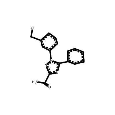 NC(=O)c1nc(-c2ccccc2)n(-c2cccc(CCl)c2)n1